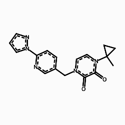 CC1(n2ccn(Cc3ccc(-n4cccn4)nc3)c(=O)c2=O)CC1